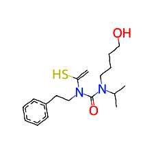 C=C(S)N(CCc1ccccc1)C(=O)N(CCCCO)C(C)C